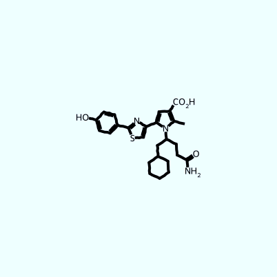 Cc1c(C(=O)O)cc(-c2csc(-c3ccc(O)cc3)n2)n1C(CCC(N)=O)CC1CCCCC1